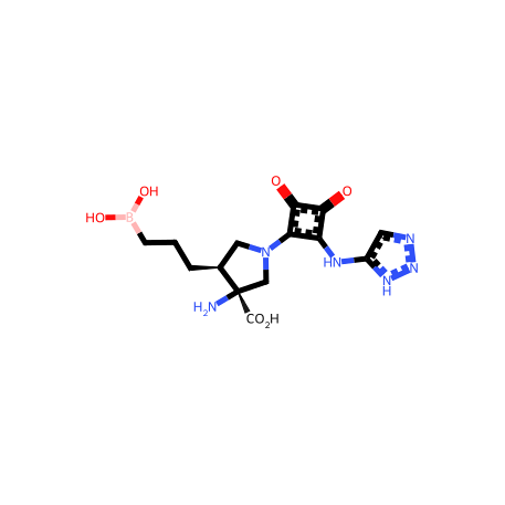 N[C@@]1(C(=O)O)CN(c2c(Nc3cnn[nH]3)c(=O)c2=O)C[C@@H]1CCCB(O)O